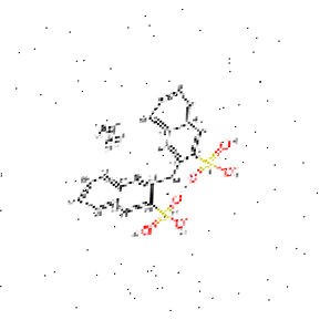 O=S(=O)([O-])c1cc2ccccc2cc1Cc1cc2ccccc2cc1S(=O)(=O)[O-].[Ag+].[Ag+]